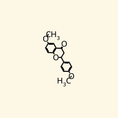 COc1ccc(C2CC(=O)c3cc(OC)ccc3O2)cc1